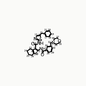 O=C(Nc1sc2c(c1C(=O)Nc1ncc(Cc3ccccc3)s1)CCCC2)c1cccc(CN2CCOCC2)c1